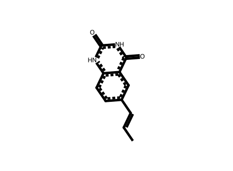 CC=Cc1ccc2[nH]c(=O)[nH]c(=O)c2c1